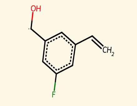 C=Cc1cc(F)cc([CH]O)c1